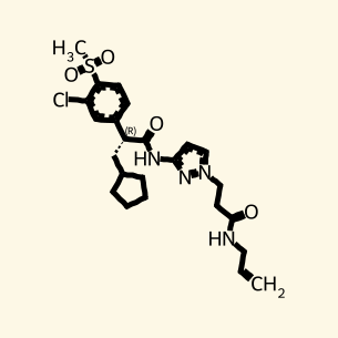 C=CCNC(=O)CCn1ccc(NC(=O)[C@H](CC2CCCC2)c2ccc(S(C)(=O)=O)c(Cl)c2)n1